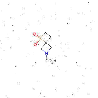 O=C(O)N1CC2(CCS2(=O)=O)C1